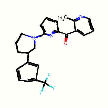 Cc1ncccc1C(=O)c1cccc(N2CCCC(c3cccc(C(F)(F)F)c3)C2)n1